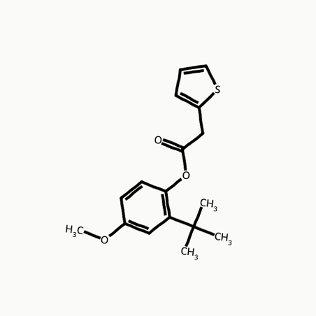 COc1ccc(OC(=O)Cc2cccs2)c(C(C)(C)C)c1